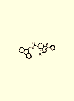 O=C(O)[C@H]1CN(C(=O)OCC2c3ccccc3-c3ccccc32)CCN1S(=O)(=O)c1cccs1